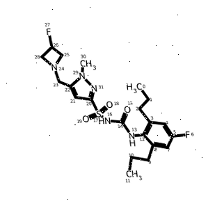 CCCc1cc(F)cc(CCC)c1NC(=O)NS(=O)(=O)c1cc(CN2CC(F)C2)n(C)n1